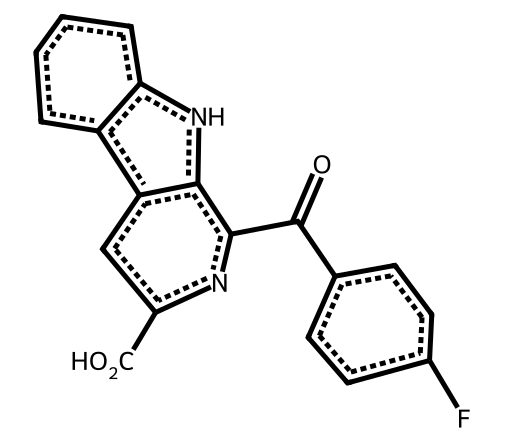 O=C(O)c1cc2c([nH]c3ccccc32)c(C(=O)c2ccc(F)cc2)n1